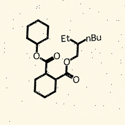 CCCCC(CC)COC(=O)C1CCCCC1C(=O)OC1CCCCC1